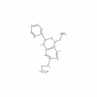 NCC1CC(c2ccccc2)Oc2cc(OCC(=O)O)ccc21